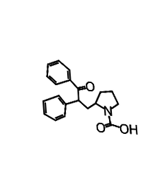 O=C(c1ccccc1)C(CC1CCCN1C(=O)O)c1ccccc1